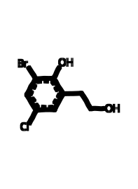 OCCc1cc(Cl)cc(Br)c1O